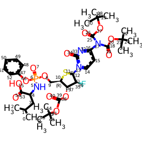 CC(C)CC(NP(=O)(OC[C@H]1S[C@@H](n2ccc(N(C(=O)OC(C)(C)C)C(=O)OC(C)(C)C)nc2=O)[C@@H](F)[C@@H]1OC(=O)OC(C)(C)C)Oc1ccccc1)C(=O)O